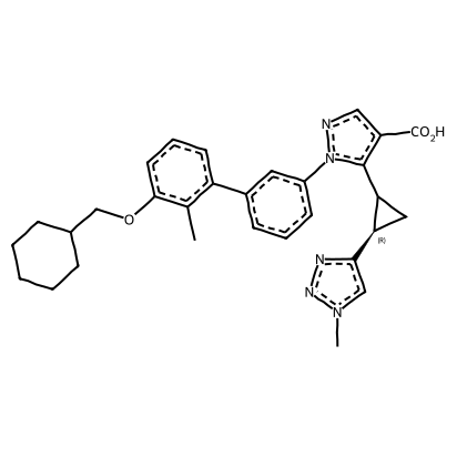 Cc1c(OCC2CCCCC2)cccc1-c1cccc(-n2ncc(C(=O)O)c2C2C[C@H]2c2cn(C)nn2)c1